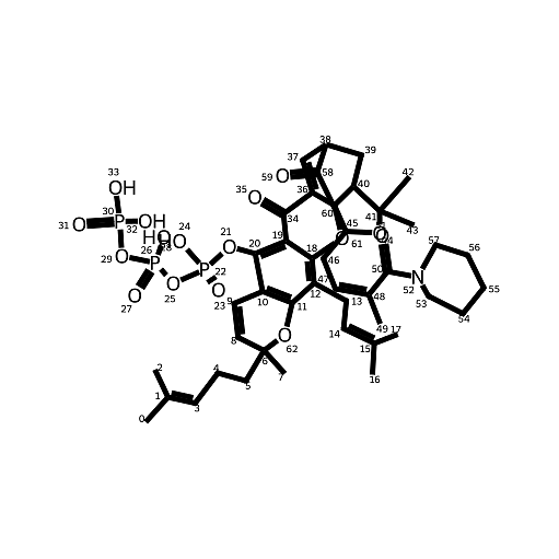 CC(C)=CCCC1(C)C=Cc2c(c(CC=C(C)C)c3c(c2OP(=O)(O)OP(=O)(O)OP(=O)(O)O)C(=O)C2=CC4CC5C(C)(C)OC(C/C=C(/C)C(=O)N6CCCCC6)(C4=O)C25O3)O1